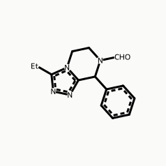 CCc1nnc2n1CCN(C=O)C2c1ccccc1